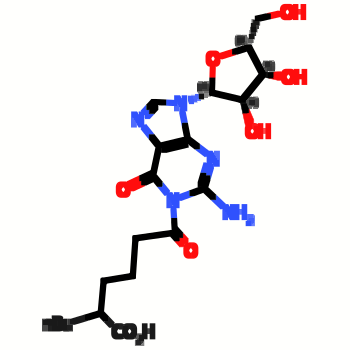 CCCCC(CCCC(=O)n1c(N)nc2c(ncn2[C@@H]2O[C@H](CO)[C@@H](O)[C@H]2O)c1=O)C(=O)O